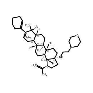 C=C(C)[C@@H]1CC[C@]2(NCCN3CCOCC3)CC[C@]3(C)[C@H](CC[C@@H]4[C@@]5(C)CC=C(C6=CCCCC6)C(C)(C)[C@@H]5CC[C@]43C)[C@@H]12